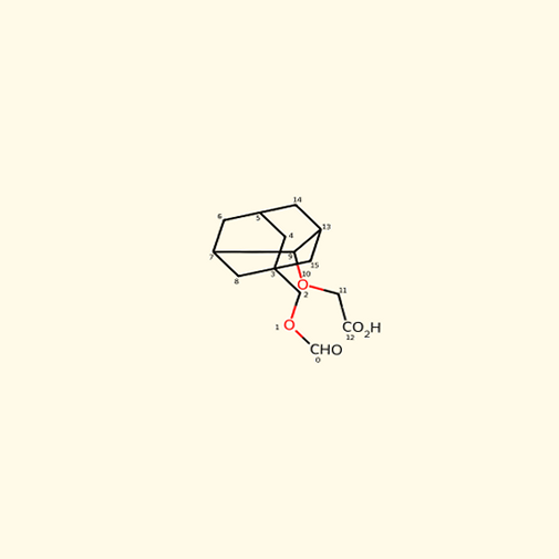 O=COCC12CC3CC(C1)C(OCC(=O)O)C(C3)C2